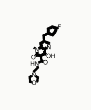 Cn1c(=O)c(C(=O)NCCN2CCOCC2)c(O)c2ncc(Cc3ccc(F)cc3)cc21